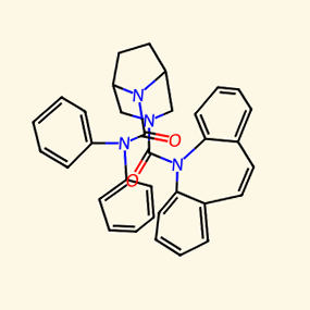 O=C(N1CC2CCC(C1)N2C(=O)N(c1ccccc1)c1ccccc1)N1c2ccccc2C=Cc2ccccc21